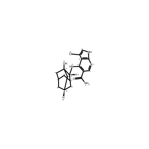 NC(=O)c1cnc2[nH]cc(Cl)c2c1N[C@@H]1C2CC3C[C@@H](C2)CC1(O)C3